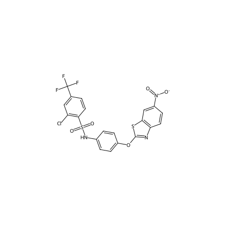 O=[N+]([O-])c1ccc2nc(Oc3ccc(NS(=O)(=O)c4ccc(C(F)(F)F)cc4Cl)cc3)sc2c1